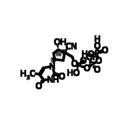 Cc1cn([C@H]2C[C@H](O)[C@@](C#N)(COP(=O)(O)OP(=O)(O)OP(=O)(O)O)C2)c(=O)[nH]c1=O